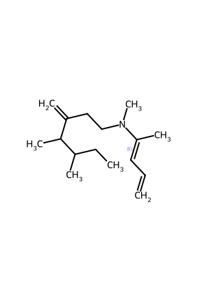 C=C/C=C(\C)N(C)CCC(=C)C(C)C(C)CC